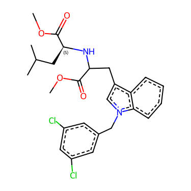 COC(=O)C(Cc1cn(Cc2cc(Cl)cc(Cl)c2)c2ccccc12)N[C@@H](CC(C)C)C(=O)OC